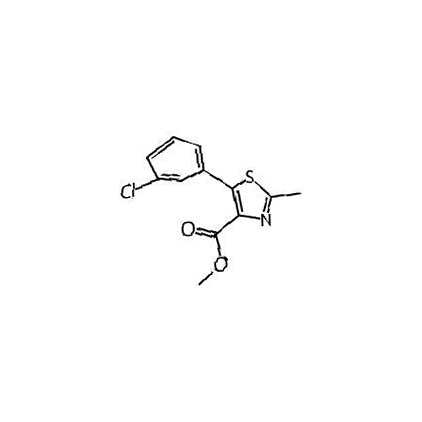 COC(=O)c1nc(C)sc1-c1cccc(Cl)c1